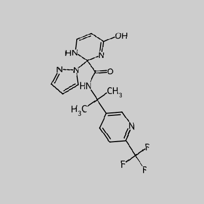 CC(C)(NC(=O)C1(n2cccn2)N=C(O)C=CN1)c1ccc(C(F)(F)F)nc1